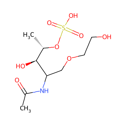 CC(=O)NC(COCCO)[C@@H](O)[C@H](C)OS(=O)(=O)O